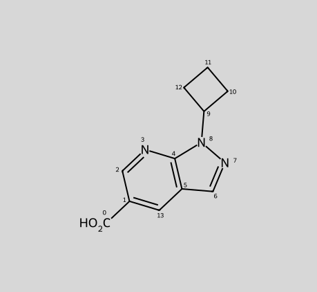 O=C(O)c1cnc2c(cnn2C2CCC2)c1